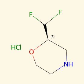 Cl.FC(F)[C@H]1CNCCO1